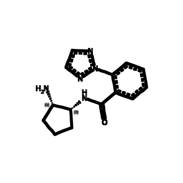 N[C@H]1CCC[C@H]1NC(=O)c1ccccc1-n1nccn1